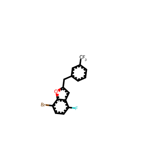 Fc1ccc(Br)c2oc(Cc3cccc(C(F)(F)F)c3)cc12